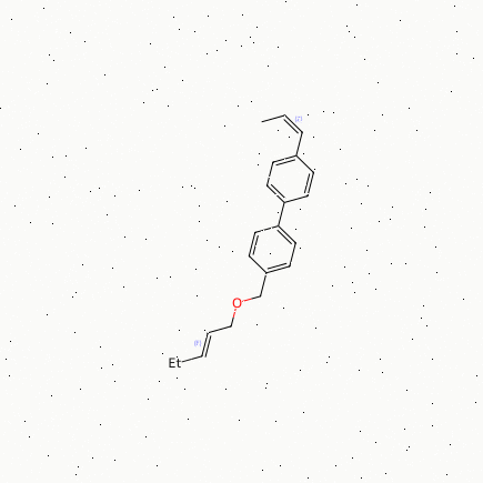 C/C=C\c1ccc(-c2ccc(COC/C=C/CC)cc2)cc1